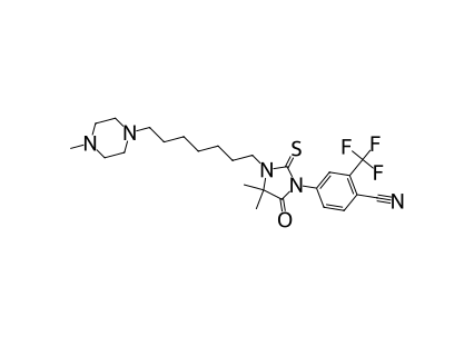 CN1CCN(CCCCCCCN2C(=S)N(c3ccc(C#N)c(C(F)(F)F)c3)C(=O)C2(C)C)CC1